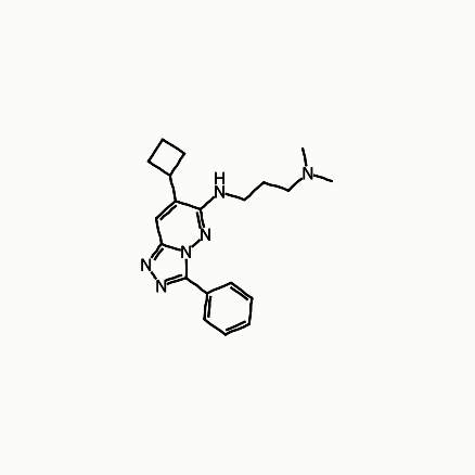 CN(C)CCCNc1nn2c(-c3ccccc3)nnc2cc1C1CCC1